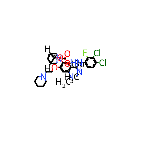 C=Nc1cc(OCCN2CCCCC2)c(O[C@H]2[C@@H]3C[C@H]2CN(C(=O)OC(C)(C)C)C3)cc1/C(=N\C)Nc1ccc(Cl)c(Cl)c1F